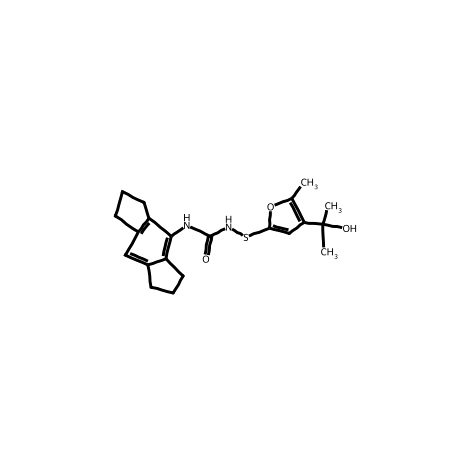 Cc1oc(SNC(=O)Nc2c3c(cc4c2CCC4)CCC3)cc1C(C)(C)O